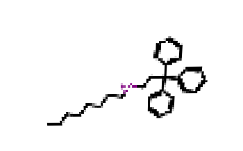 CCCCCCCCPCCC(c1ccccc1)(c1ccccc1)c1ccccc1